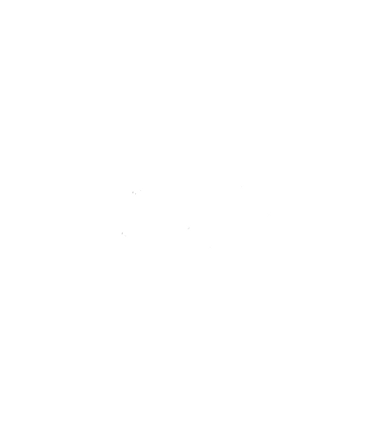 [2H]C([2H])([2H])C([2H])(Oc1cccnc1[N+](=O)[O-])c1c(Cl)ccc(F)c1Cl